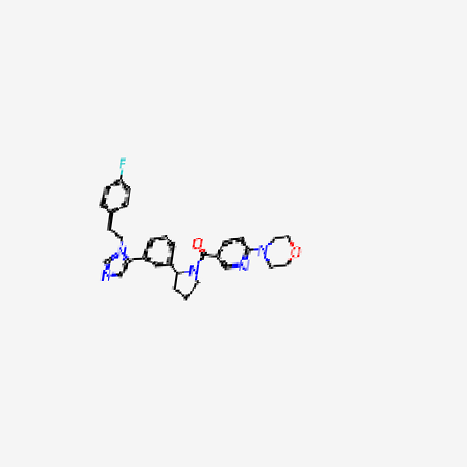 O=C(c1ccc(N2CCOCC2)nc1)N1CCCC1c1cccc(-c2cncn2CCc2ccc(F)cc2)c1